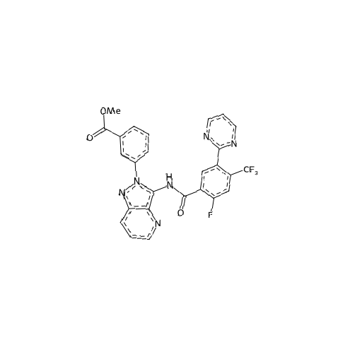 COC(=O)c1cccc(-n2nc3cccnc3c2NC(=O)c2cc(-c3ncccn3)c(C(F)(F)F)cc2F)c1